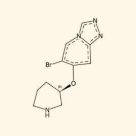 Brc1cn2cnnc2cc1O[C@@H]1CCCNC1